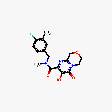 Cc1cc(CN(C)C(=O)c2nc3n(c(=O)c2O)CCOC3)ccc1F